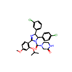 COc1ccc(C2=NC(c3cccc(Cl)c3)C(c3ccc(Cl)cc3)N2C(=O)N2CCNC(=O)C2)c(OC(C)C)c1